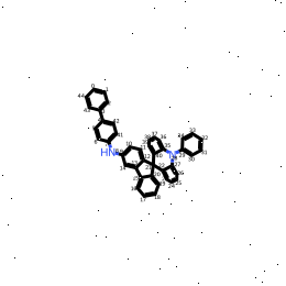 c1ccc(-c2ccc(Nc3ccc4c(c3)-c3ccccc3C43c4ccccc4N(c4ccccc4)c4ccccc43)cc2)cc1